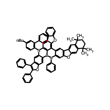 CCCCc1ccc(N2c3cc4c(-c5ccccc5)c(-c5ccccc5)oc4cc3B3c4c2cc2c(oc5ccccc52)c4-c2cc4c(cc2N3c2ccccc2)oc2cc3c(cc24)C(C)(C)CCC3(C)C)c(-c2ccccc2)c1